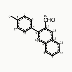 Cc1ccc(-c2nc3ccccc3cc2C=O)cc1